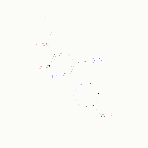 CCCC(=O)c1cc(C#N)c(N2CCC(C(=O)OC)CC2)[nH]c1=O